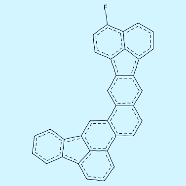 Fc1ccc2c3cc4c(ccc5c4cc4c6ccccc6c6cccc5c64)cc3c3cccc1c32